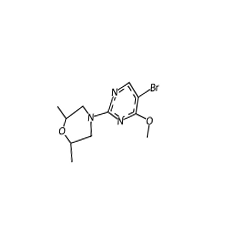 COc1nc(N2CC(C)OC(C)C2)ncc1Br